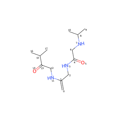 C=C(CNC(=O)CNC(C)C)NCC(=O)C(C)C